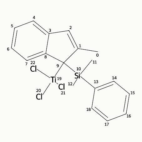 CC1=Cc2ccccc2[C]1([Si](C)(C)c1ccccc1)[Ti]([Cl])([Cl])[Cl]